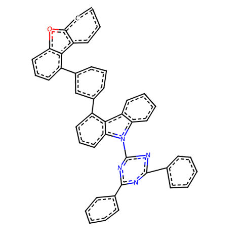 c1ccc(-c2nc(-c3ccccc3)nc(-n3c4ccccc4c4c(-c5cccc(-c6cccc7oc8ccccc8c67)c5)cccc43)n2)cc1